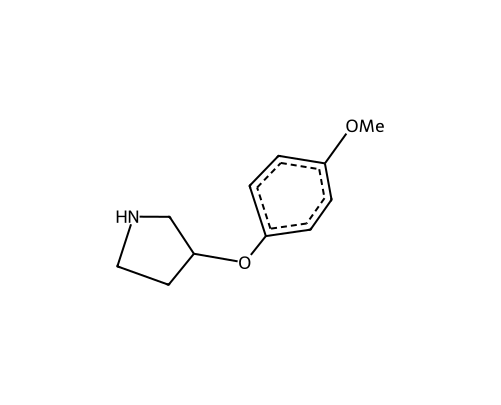 COc1ccc(OC2CCNC2)cc1